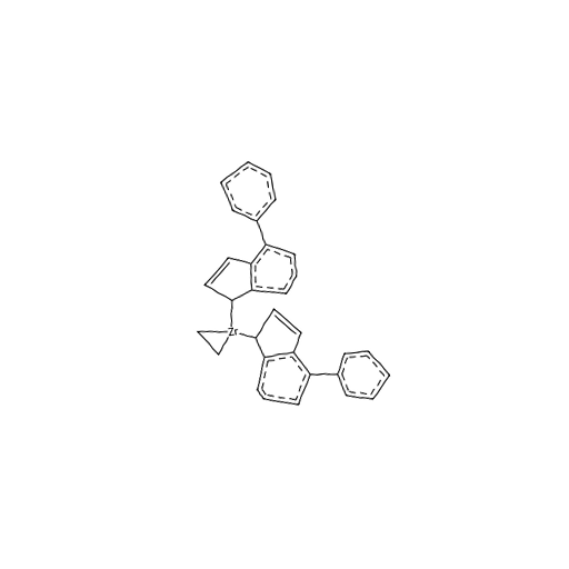 C1=C[CH]([Zr]2([CH]3C=Cc4c(-c5ccccc5)cccc43)[CH2][CH2]2)c2cccc(-c3ccccc3)c21